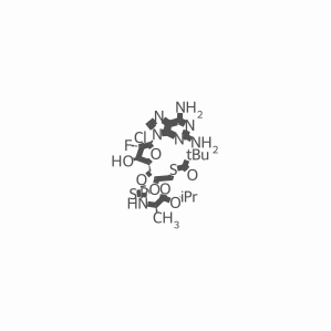 CC(C)OC(=O)[C@H](C)NP(=S)(OCCSC(=O)C(C)(C)C)OC[C@H]1O[C@@H](n2cnc3c(N)nc(N)nc32)[C@](F)(Cl)[C@@H]1O